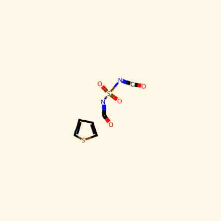 O=C=NS(=O)(=O)N=C=O.c1ccsc1